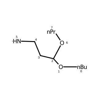 CCCCOC(CC[NH])OCCC